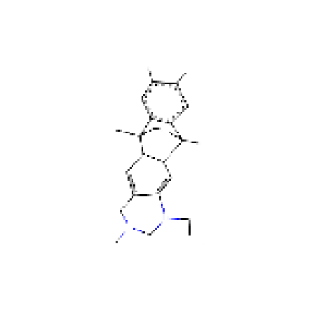 CCN1CN(C)CC2=CC3C(C=C21)C1(C)CCC3(C)c2cc(C)c(C)cc21